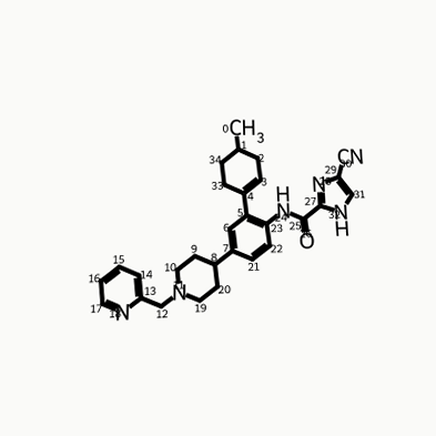 CC1CC=C(c2cc(C3CCN(Cc4ccccn4)CC3)ccc2NC(=O)c2nc(C#N)c[nH]2)CC1